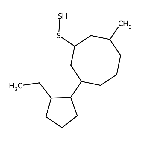 CCC1CCCC1C1CCCC(C)CC(SS)C1